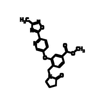 COC(=O)c1ccc(CN2CCCC2=O)c(Oc2ccc(-c3nc(C)no3)nc2)c1